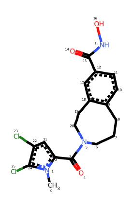 Cn1c(C(=O)N2CCCc3ccc(C(=O)NO)cc3CC2)cc(Cl)c1Cl